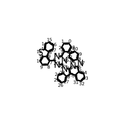 c1ccc(-c2nc(-c3cccc4sc5ccccc5c34)nc(-n3c4ccccc4c4c5ccccc5c5nc6ccccc6n5c43)n2)cc1